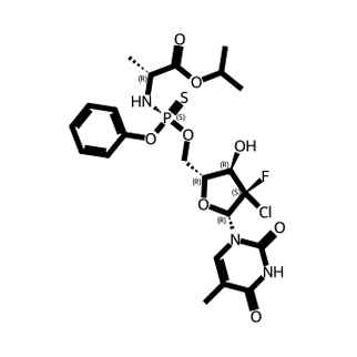 Cc1cn([C@@H]2O[C@H](CO[P@@](=S)(N[C@H](C)C(=O)OC(C)C)Oc3ccccc3)[C@@H](O)[C@]2(F)Cl)c(=O)[nH]c1=O